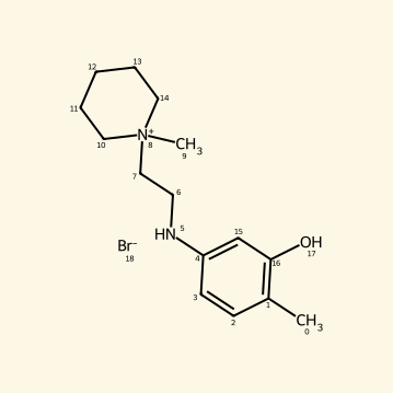 Cc1ccc(NCC[N+]2(C)CCCCC2)cc1O.[Br-]